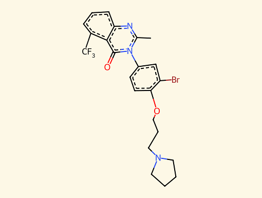 Cc1nc2cccc(C(F)(F)F)c2c(=O)n1-c1ccc(OCCCN2CCCC2)c(Br)c1